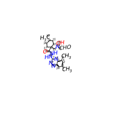 Cc1cc(C)c2nc(NNC(=O)[C@]3(CN(O)C=O)CC[C@H](C)CC3)nnc2c1